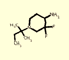 CCC(C)(C)N1CCC(N)C(F)(F)C1